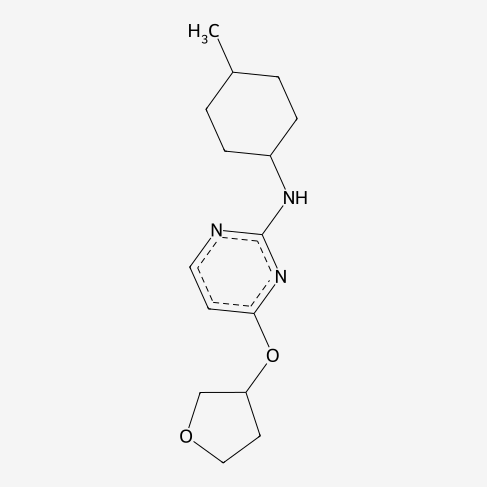 CC1CCC(Nc2nccc(OC3CCOC3)n2)CC1